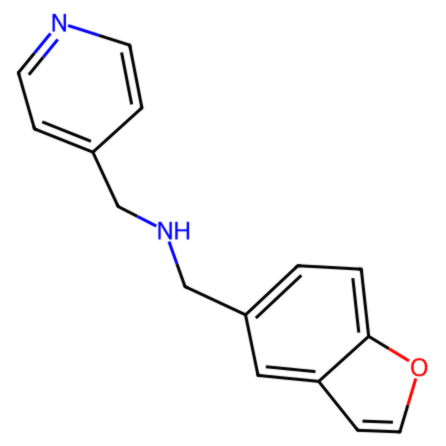 c1cc(CNCc2ccc3occc3c2)ccn1